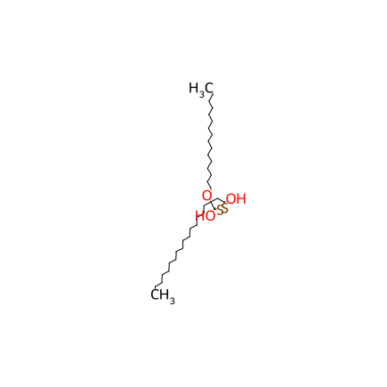 CCCCCCCCCCCCCCCCOC(CCCCCCCCCCCCCCCC)(CC(O)=S)C(O)=S